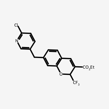 CCOC(=O)C1=Cc2ccc(Cc3ccc(Cl)nc3)cc2OC1C(F)(F)F